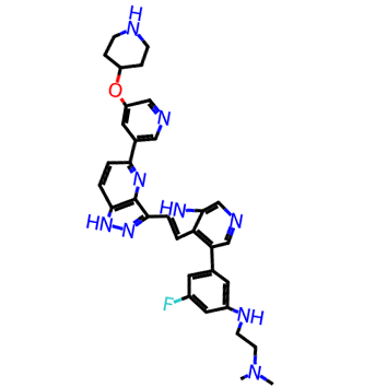 CN(C)CCNc1cc(F)cc(-c2cncc3[nH]c(-c4n[nH]c5ccc(-c6cncc(OC7CCNCC7)c6)nc45)cc23)c1